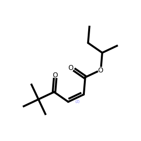 CCC(C)OC(=O)/C=C\C(=O)C(C)(C)C